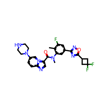 Cc1c(F)cc(-c2noc(C3CC(F)(F)C3)n2)cc1N(C)C(=O)c1cnc2ccc(N3CCNCC3)cn12